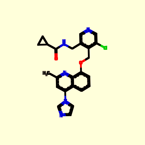 Cc1cc(-n2ccnc2)c2cccc(OCc3c(Cl)cncc3CNC(=O)C3CC3)c2n1